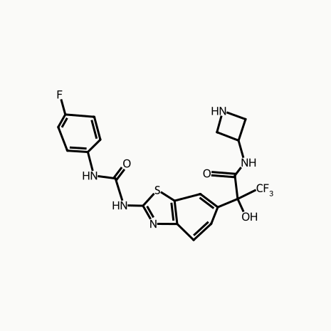 O=C(Nc1ccc(F)cc1)Nc1nc2ccc(C(O)(C(=O)NC3CNC3)C(F)(F)F)cc2s1